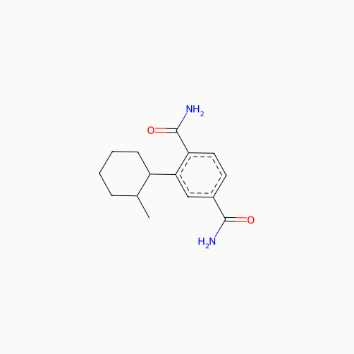 CC1CCCCC1c1cc(C(N)=O)ccc1C(N)=O